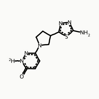 [2H]n1nc(N2CCC(c3nnc(N)s3)C2)ccc1=O